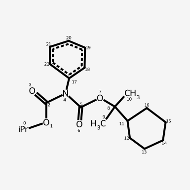 CC(C)OC(=O)N(C(=O)OC(C)(C)C1CCCCC1)c1ccccc1